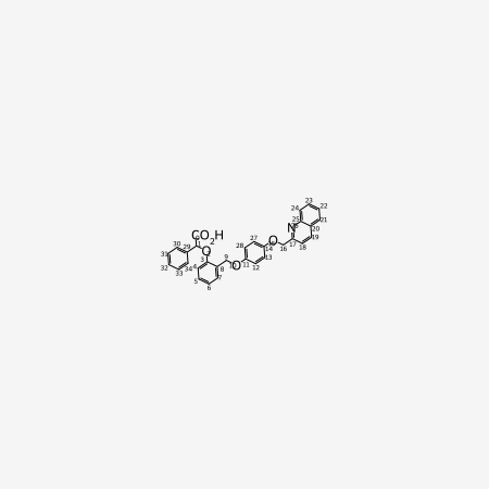 O=C(O)C(Oc1ccccc1COc1ccc(OCc2ccc3ccccc3n2)cc1)c1ccccc1